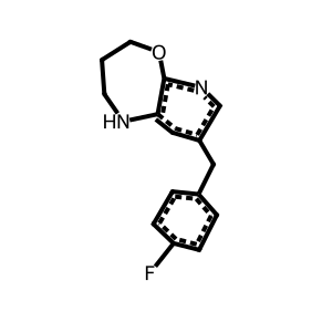 Fc1ccc(Cc2cnc3c(c2)NCCCO3)cc1